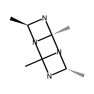 CC12N3[C@]4(C)N1[C@]1(C)N2[C@@]3(C)N41